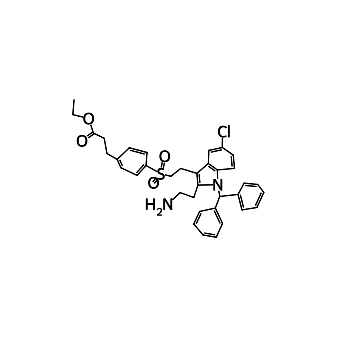 CCOC(=O)CCc1ccc(S(=O)(=O)CCc2c(CCN)n(C(c3ccccc3)c3ccccc3)c3ccc(Cl)cc23)cc1